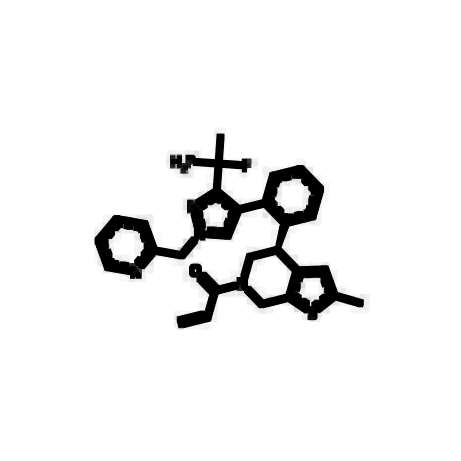 C=CC(=O)N1Cc2sc(C)cc2[C@H](c2ccccc2-c2cn(Cc3ccccn3)nc2C(C)(F)P)C1